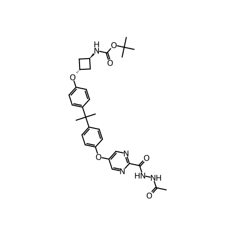 CC(=O)NNC(=O)c1ncc(Oc2ccc(C(C)(C)c3ccc(O[C@H]4C[C@H](NC(=O)OC(C)(C)C)C4)cc3)cc2)cn1